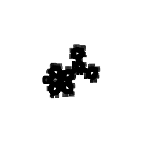 O=C1c2ccccc2C(c2ccccc2)(c2ccc(-c3nc(-c4ccccc4)cc(-c4ccccc4)n3)cc2)c2ccccc21